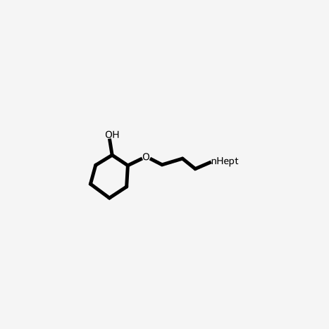 CCCCCCCCCCOC1CCCCC1O